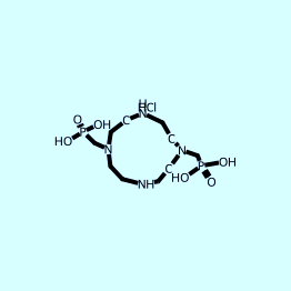 Cl.O=P(O)(O)CN1CCNCCN(CP(=O)(O)O)CCNCC1